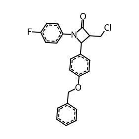 O=C1C(CCl)C(c2ccc(OCc3ccccc3)cc2)N1c1ccc(F)cc1